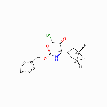 O=C(N[C@@H](C(=O)CBr)C1C[C@@H]2C[C@@H]2C1)OCc1ccccc1